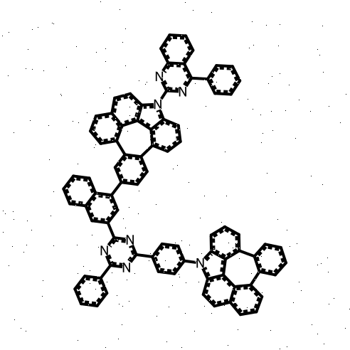 c1ccc(-c2nc(-c3ccc(-n4c5cccc6c5c5c7c(cccc7ccc54)-c4ccccc4-6)cc3)nc(-c3cc(-c4ccc5c(c4)-c4cccc6ccc7c(c46)c4c-5cccc4n7-c4nc(-c5ccccc5)c5ccccc5n4)c4ccccc4c3)n2)cc1